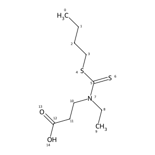 CCCCSC(=S)N(CC)CCC(=O)O